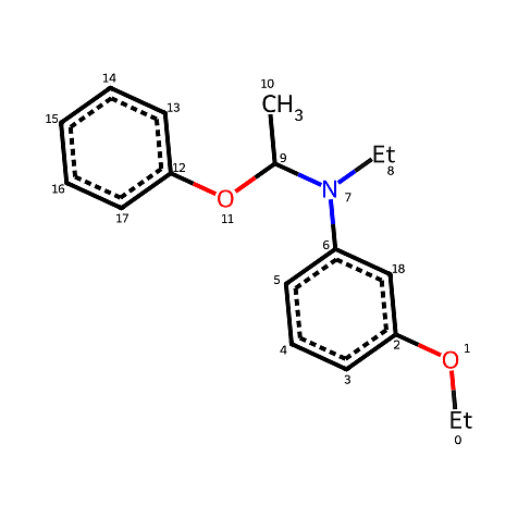 CCOc1cccc(N(CC)C(C)Oc2ccccc2)c1